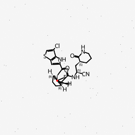 N#C[C@H](C[C@@H]1CCCNC1=O)NC(=O)[C@@H]1[C@H]2CC[C@H](CC2(F)F)N1C(=O)c1cc2scc(Cl)c2[nH]1